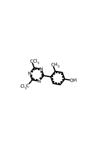 Cc1cc(O)ccc1-c1nc(C(Cl)(Cl)Cl)nc(C(Cl)(Cl)Cl)n1